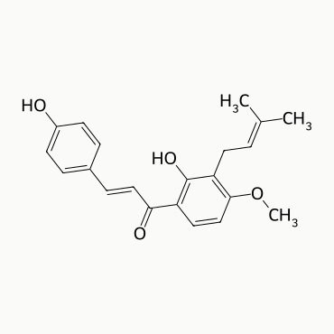 COc1ccc(C(=O)C=Cc2ccc(O)cc2)c(O)c1CC=C(C)C